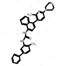 Cc1ccc(-c2ccccc2)cc1NC(=O)Nc1ccc(-c2ccc(N3CCOCC3)nc2C)c2ccccc12